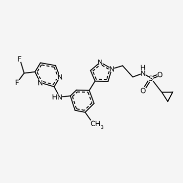 Cc1cc(Nc2nccc(C(F)F)n2)cc(-c2cnn(CCNS(=O)(=O)C3CC3)c2)c1